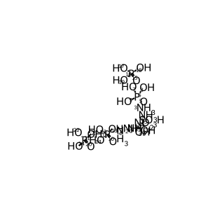 N.N.N.N.N.O=P(O)(O)O.O=P(O)(O)O.O=P(O)(O)O.O=P(O)(O)O.O=S(=O)(O)O.O=[N+]([O-])O